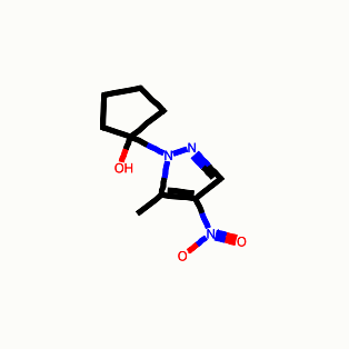 Cc1c([N+](=O)[O-])cnn1C1(O)CCCC1